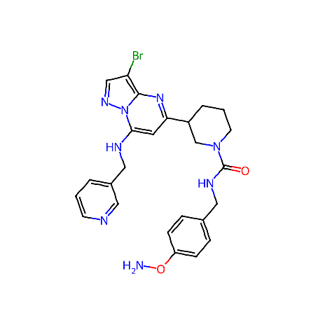 NOc1ccc(CNC(=O)N2CCCC(c3cc(NCc4cccnc4)n4ncc(Br)c4n3)C2)cc1